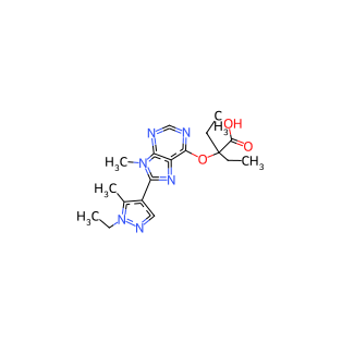 CCn1ncc(-c2nc3c(OC(CC)(CC)C(=O)O)ncnc3n2C)c1C